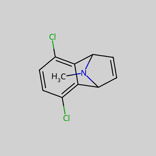 CN1C2C=CC1c1c(Cl)ccc(Cl)c12